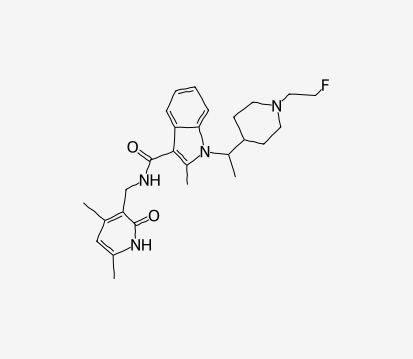 Cc1cc(C)c(CNC(=O)c2c(C)n(C(C)C3CCN(CCF)CC3)c3ccccc23)c(=O)[nH]1